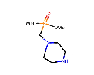 COP(=O)(CN1CCNCC1)OC